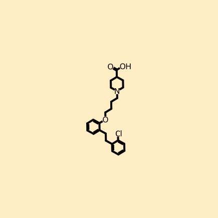 O=C(O)C1CCN(CCCCOc2ccccc2CCc2ccccc2Cl)CC1